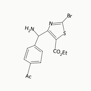 CCOC(=O)c1sc(Br)nc1C(N)c1ccc(C(C)=O)cc1